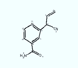 C=CC(C#N)c1cc(C(N)=O)ccn1